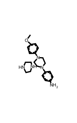 C1CNCCN1.COc1ccc(N2CCN(c3ccc(N)cc3)CC2)cc1